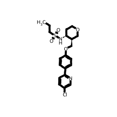 CCCS(=O)(=O)N[C@@H]1CCOC[C@H]1COc1ccc(-c2ccc(Cl)cn2)cc1